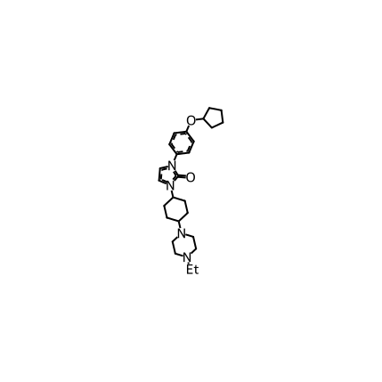 CCN1CCN(C2CCC(n3ccn(-c4ccc(OC5CCCC5)cc4)c3=O)CC2)CC1